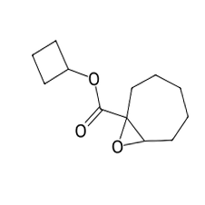 O=C(OC1CCC1)C12CCCCCC1O2